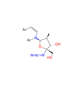 CC(=O)/C=C\N(C(C)=O)[C@@H]1O[C@@](CO)(N=[N+]=[N-])[C@@H](O)[C@@H]1C